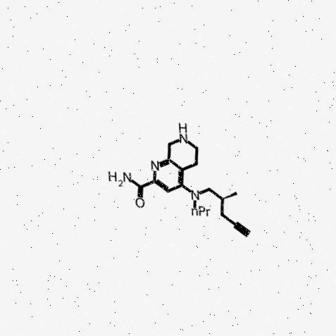 C#CC[C@H](C)CN(CCC)c1cc(C(N)=O)nc2c1CCNC2